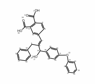 O=C(O)c1ccc(/C=C(\Cc2ccccc2)C(O)c2ccc(Oc3ccccc3)cc2)cc1C(=O)O